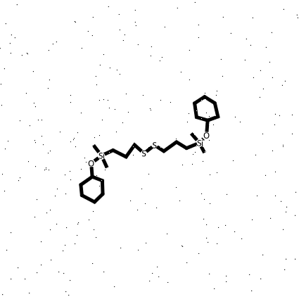 C[Si](C)(CCCSSCCC[Si](C)(C)OC1CCCCC1)OC1CCCCC1